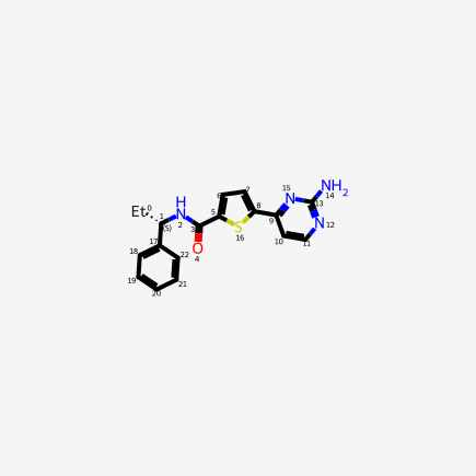 CC[C@H](NC(=O)c1ccc(-c2ccnc(N)n2)s1)c1ccccc1